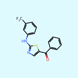 O=C(c1ccccc1)c1cnc(Nc2cccc(C(F)(F)F)c2)s1